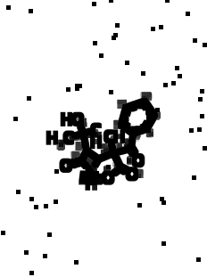 COC(=O)C(C)(C(=O)c1ccccc1)C1NC(=O)C1C(C)(C)O